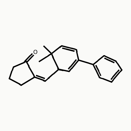 CC1(C)C=CC(c2ccccc2)=CC1C=C1CCCC1=O